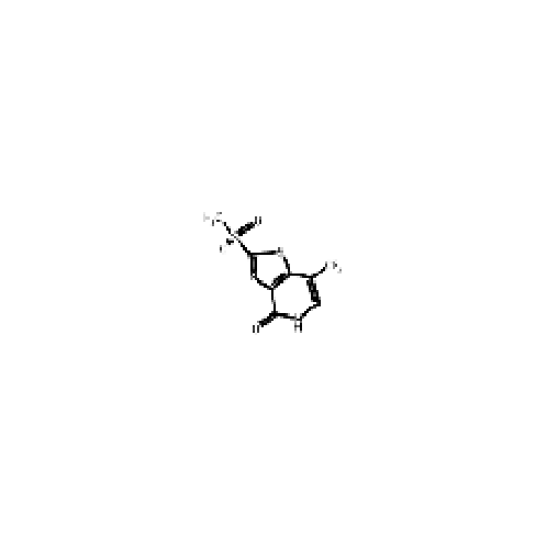 CS(=O)(=O)c1nc2c(=O)[nH]cc(C(F)(F)F)c2s1